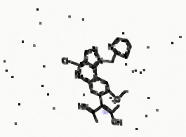 COc1cc2c(cc1/C(C(C)=N)=C(\C)O)nc(Cl)c1cnn(Cc3ccccn3)c12